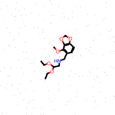 CCOC(CNCc1ccc2c(c1OC)OCO2)OCC